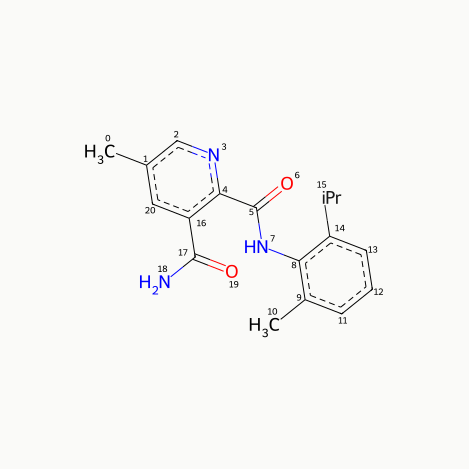 Cc1cnc(C(=O)Nc2c(C)cccc2C(C)C)c(C(N)=O)c1